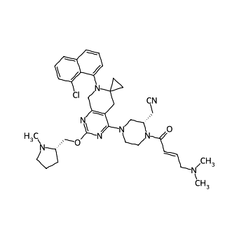 CN(C)C/C=C/C(=O)N1CCN(c2nc(OC[C@@H]3CCCN3C)nc3c2CC2(CC2)N(c2cccc4cccc(Cl)c24)C3)C[C@@H]1CC#N